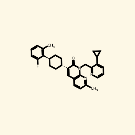 Cc1ccc2cc([C@H]3CC[C@H](c4c(C)cccc4F)CC3)c(=O)n(Cc3ncccc3C3CC3)c2n1